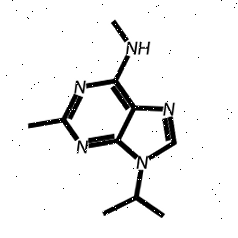 CNc1nc(C)nc2c1ncn2C(C)C